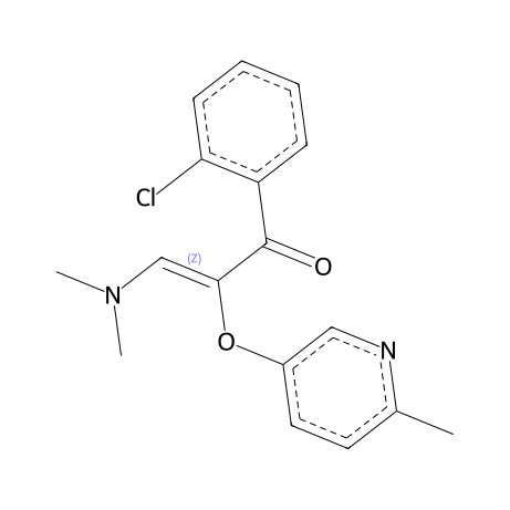 Cc1ccc(O/C(=C\N(C)C)C(=O)c2ccccc2Cl)cn1